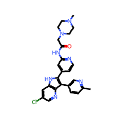 Cc1ccc(-c2c(-c3ccnc(NC(=O)CN4CCN(C)CC4)c3)[nH]c3cc(Cl)cnc23)cn1